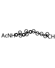 C=CC(=O)OCCOCCOCCOc1ccc(C(=O)Oc2ccc(OC(=O)c3ccc(NC(C)=O)cc3)cc2)cc1